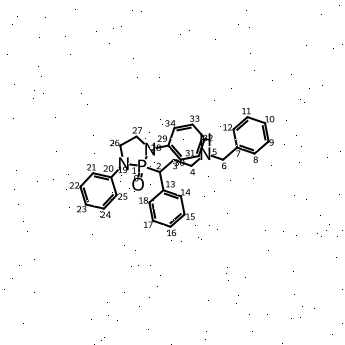 O=P1(C(CCNCc2ccccc2)c2ccccc2)N(c2ccccc2)CCN1c1ccccc1